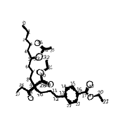 CCCCCC(CCCC(CCCc1ccc(C(=O)OCC)cc1)(C(=O)CC)C(=O)OCC)OC(C)=O